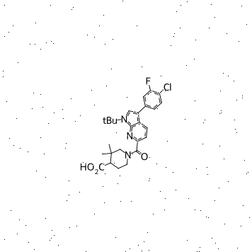 CC1(C)CN(C(=O)c2ccc3c(-c4ccc(Cl)c(F)c4)cn(C(C)(C)C)c3n2)CCC1C(=O)O